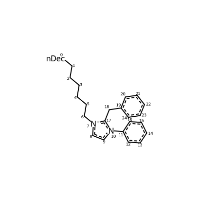 CCCCCCCCCCCCCCCC[n+]1ccn(-c2ccccc2)c1Cc1ccccc1